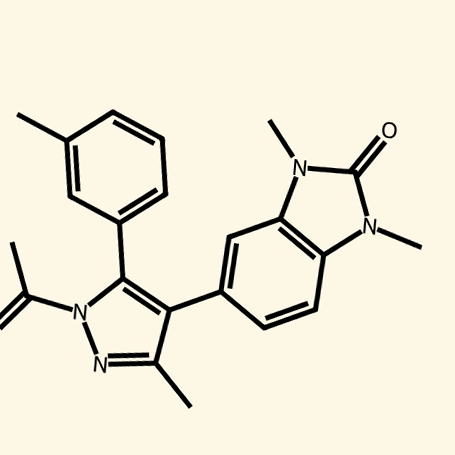 CC(=O)n1nc(C)c(-c2ccc3c(c2)n(C)c(=O)n3C)c1-c1cccc(C)c1